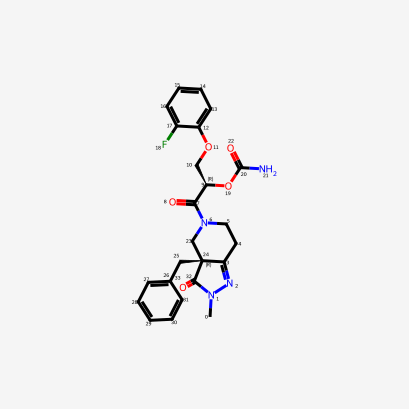 CN1N=C2CCN(C(=O)[C@@H](COc3ccccc3F)OC(N)=O)C[C@@]2(Cc2ccccc2)C1=O